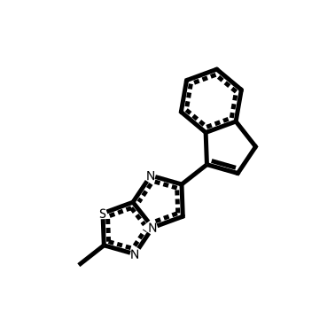 Cc1nn2cc(C3=CCc4ccccc43)nc2s1